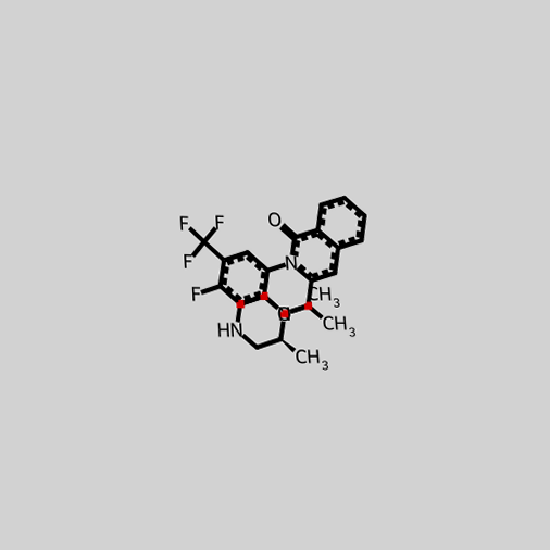 CC(C)Oc1cc(F)c(C(F)(F)F)cc1-n1c(CN2CCNC[C@@H]2C)cc2ccccc2c1=O